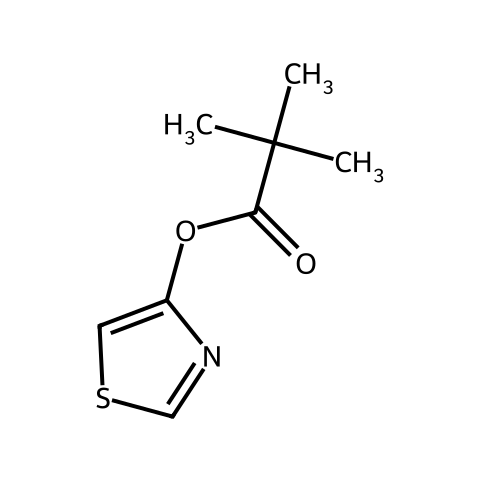 CC(C)(C)C(=O)Oc1cscn1